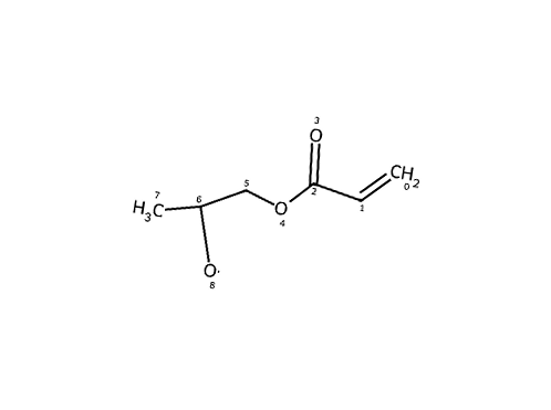 C=CC(=O)OCC(C)[O]